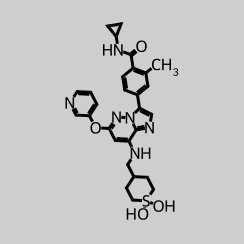 Cc1cc(-c2cnc3c(NCC4CCS(O)(O)CC4)cc(Oc4cccnc4)nn23)ccc1C(=O)NC1CC1